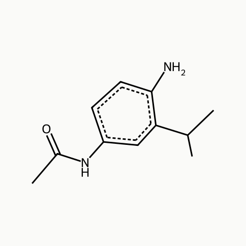 CC(=O)Nc1ccc(N)c(C(C)C)c1